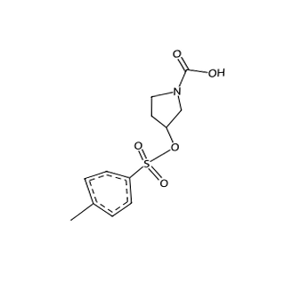 Cc1ccc(S(=O)(=O)OC2CCN(C(=O)O)C2)cc1